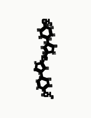 Cc1ccc(C2=CC[C]([Fe][C]3=CC(c4ccc(C)cc4)=CC3)=C2)cc1